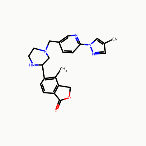 Cc1c(C2CN(Cc3ccc(-n4cc(C#N)cn4)nc3)CCN2)ccc2c1COC2=O